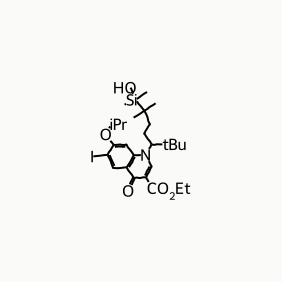 CCOC(=O)c1cn(C(CCC(C)(C)[Si](C)(C)O)C(C)(C)C)c2cc(OC(C)C)c(I)cc2c1=O